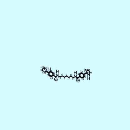 O=C(NCCCCCCCNC(=O)c1ccc(C2=NCCN2)cc1)c1ccc(C2=NCCN2)cc1